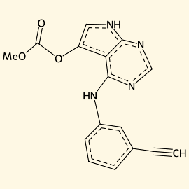 C#Cc1cccc(Nc2ncnc3[nH]cc(OC(=O)OC)c23)c1